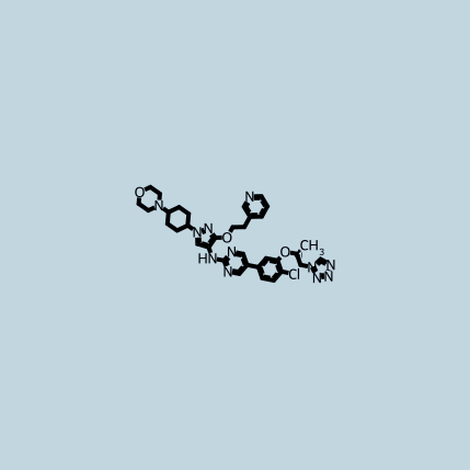 C[C@@H](Cn1cnnn1)Oc1cc(-c2cnc(Nc3cn(C4CCC(N5CCOCC5)CC4)nc3OCCc3cccnc3)nc2)ccc1Cl